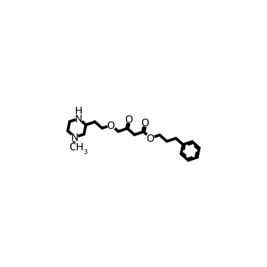 CN1CCNC(CCOCC(=O)CC(=O)OCCCc2ccccc2)C1